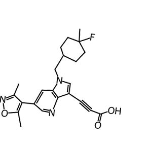 Cc1noc(C)c1-c1cnc2c(C#CC(=O)O)cn(CC3CCC(C)(F)CC3)c2c1